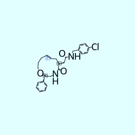 O=C(C[C@@H]1C/C=C/CCCO[C@H](c2ccccc2)CNC1=O)NCc1ccc(Cl)cc1